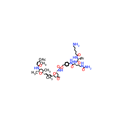 CC(=O)O[C@@H](C)/C=C\C(=O)N[C@@H]1C[C@H](C)[C@H](C/C=C(C)/C=C/[C@@H]2C[C@]3(CO3)C[C@@H](CNC(=O)OCc3ccc(NC(=O)[C@H](CCCNC(N)=O)NC(=O)[C@@H](NC(=O)CCCCCN)C(C)C)cc3)O2)O[C@@H]1C